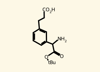 CC(C)(C)OC(=O)C(N)c1cccc(CCC(=O)O)c1